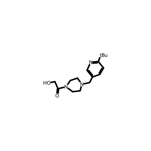 CC(C)(C)c1ccc(CN2CCN(C(=O)CO)CC2)cn1